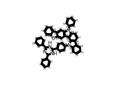 c1ccc(C2=NC(c3ccccc3)NC(c3ccc(-n4c5ccccc5c5ccc6c(c7cc8oc9ccccc9c8cc7n6-c6ccccc6)c54)cc3)N2)cc1